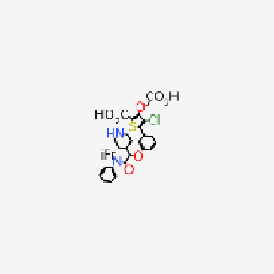 CC(C)N(C(=O)C(Oc1cccc(-c2sc(C(=O)O)c(OCC(=O)O)c2Cl)c1)C1CCNCC1)c1ccccc1